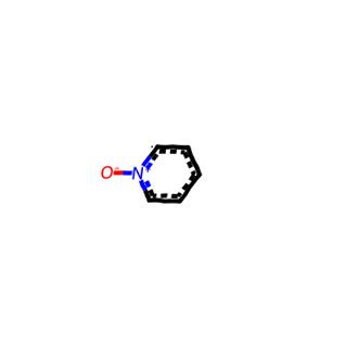 [O-][n+]1[c]cccc1